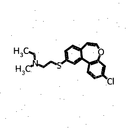 CCN(C)CCSc1ccc2c(c1)-c1ccc(Cl)cc1OC=C2